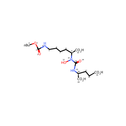 CCCCOC(=O)NCCCC[C@@H](C(=O)O)N(O)C(=O)N[C@@H](CCC(=O)O)C(=O)O